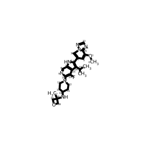 COc1cc(-c2[nH]c3cnc(N4CCC(NC5(C)COC5)CC4)c(F)c3c2C(C)C)cn2ncnc12